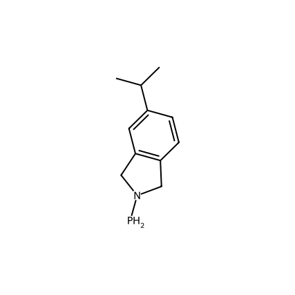 CC(C)c1ccc2c(c1)CN(P)C2